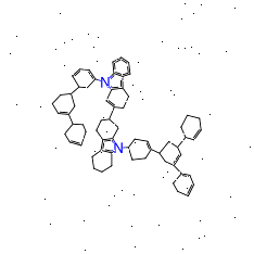 C1=CCCC(C2=CC(C3C=CCCC3)CC(C3=CCC(n4c5c(c6c4CC(C4=Cc7c(c8ccccc8n7C7=CC=CC(C8CCC=C(C9CC=CCC9)C8)C7)CC4)CC6)CCCC5)CC3)C2)=C1